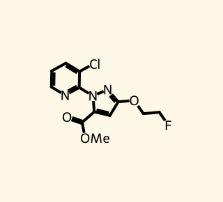 COC(=O)c1cc(OCCF)nn1-c1ncccc1Cl